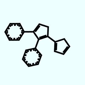 C1=CCC(C2=C(c3ccccc3)C(c3ccccc3)=CC2)=C1